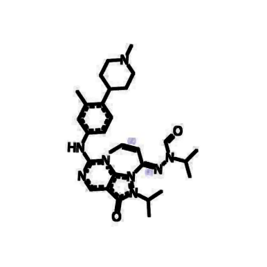 C/C=C\C(=N/N(C=O)C(C)C)n1c2nc(Nc3ccc(C4CCN(C)CC4)c(C)c3)ncc2c(=O)n1C(C)C